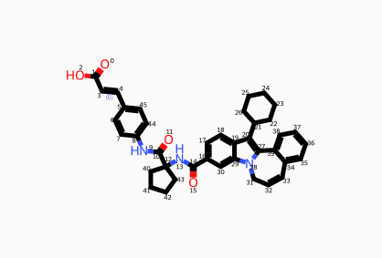 O=C(O)/C=C/c1ccc(NC(=O)C2(NC(=O)c3ccc4c(C5CCCCC5)c5n(c4c3)CC=Cc3ccccc3-5)CCCC2)cc1